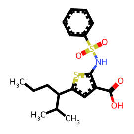 CCCC(c1cc(C(=O)O)c(NS(=O)(=O)c2ccccc2)s1)C(C)C